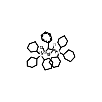 [Cl][Ru]([Cl])([CH](c1ccccc1)[Ru]([Cl])([Cl])[PH](C1CCCCC1)(C1CCCCC1)C1CCCCC1)[PH](C1CCCCC1)(C1CCCCC1)C1CCCCC1